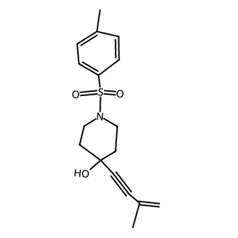 C=C(C)C#CC1(O)CCN(S(=O)(=O)c2ccc(C)cc2)CC1